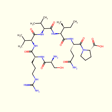 CC[C@H](C)[C@H](NC(=O)[C@@H](NC(=O)[C@@H](NC(=O)[C@H](CCCNC(=N)N)NC(=O)[C@@H](N)CO)C(C)C)C(C)C)C(=O)N[C@@H](CCC(N)=O)C(=O)N1CCC[C@H]1C(=O)O